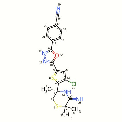 CC1(C)SC[C@@](C)(c2sc(-c3nnc(-c4ccc(C#N)cc4)o3)cc2Cl)NC1=N